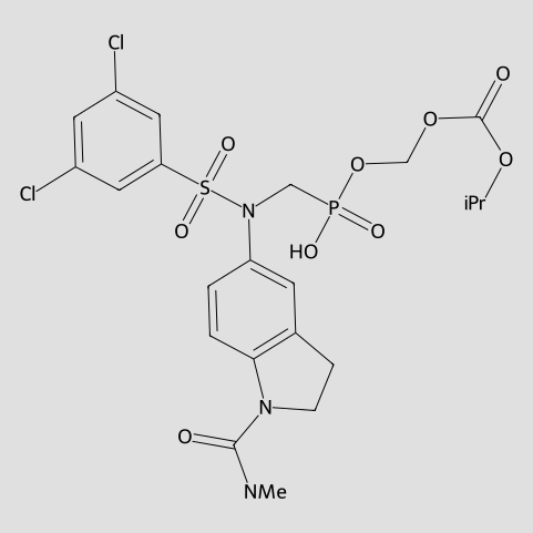 CNC(=O)N1CCc2cc(N(CP(=O)(O)OCOC(=O)OC(C)C)S(=O)(=O)c3cc(Cl)cc(Cl)c3)ccc21